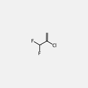 C=C(Cl)[C](F)F